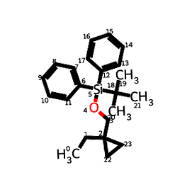 CCC1(CO[Si](c2ccccc2)(c2ccccc2)C(C)(C)C)CC1